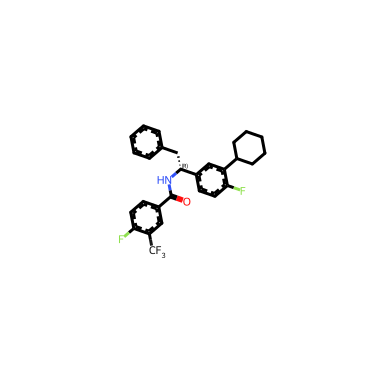 O=C(N[C@H](Cc1ccccc1)c1ccc(F)c(C2CCCCC2)c1)c1ccc(F)c(C(F)(F)F)c1